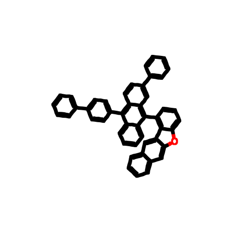 c1ccc(-c2ccc(-c3c4ccccc4c(-c4cccc5oc6cc7ccccc7cc6c45)c4cc(-c5ccccc5)ccc34)cc2)cc1